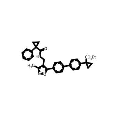 CCOC(=O)C1(c2ccc(-c3ccc(-c4onc(C)c4CNC(=O)C4(c5ccccc5)CC4)cc3)cc2)CC1